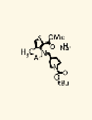 COC(=O)c1scc(C)c1N(CC1CCN(C(=O)OC(C)(C)C)CC1)C(C)=O.[H-].[Na+]